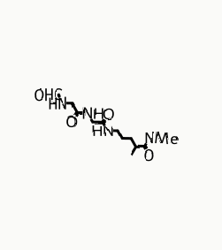 CNC(=O)C(C)CCCNC(=O)CNC(=O)CNC=O